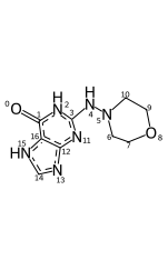 O=c1[nH]c(NN2CCOCC2)nc2nc[nH]c12